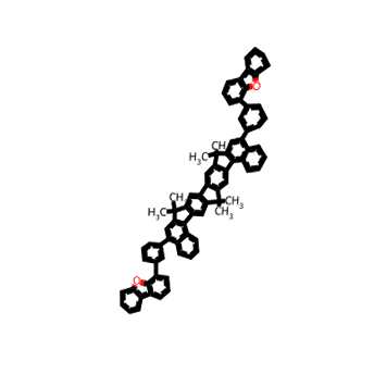 CC1(C)c2cc3c(cc2-c2cc4c(cc21)-c1c(cc(-c2cccc(-c5cccc6c5oc5ccccc56)c2)c2ccccc12)C4(C)C)C(C)(C)c1cc(-c2cccc(-c4cccc5c4oc4ccccc45)c2)c2ccccc2c1-3